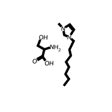 CCCCCCCCN1C=CN(C)C1.NC(CO)C(=O)O